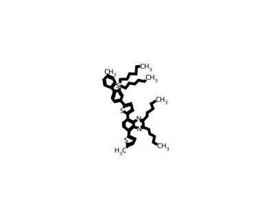 CCCCCC[Si]1(CCCCCC)c2cc(C)ccc2-c2ccc(-c3ccc(-c4ccc(-c5ccc(C)s5)c5nc(CCCCC)c(CCCCC)nc45)s3)cc21